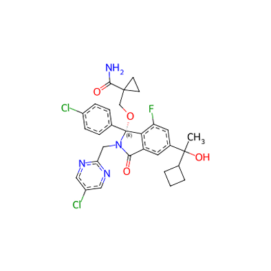 CC(O)(c1cc(F)c2c(c1)C(=O)N(Cc1ncc(Cl)cn1)[C@@]2(OCC1(C(N)=O)CC1)c1ccc(Cl)cc1)C1CCC1